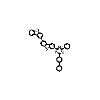 c1ccc(-c2ccc(-c3nc(-c4ccccc4)nc(-c4ccc5c(c4)sc4ccc(-c6ccc7oc8ccccc8c7c6)cc45)n3)cc2)cc1